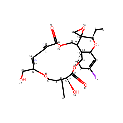 CC[C@H]1OC2C=C(I)CC[C@@]23COC(=O)[C@@H](O)C(C)CCOC(CO)/C=C/C=C\C(=O)OCC3C12CO2